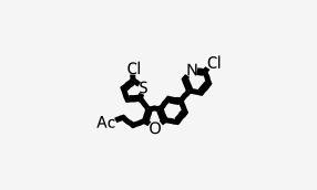 CC(=O)CCc1oc2ccc(-c3ccc(Cl)nc3)cc2c1-c1ccc(Cl)s1